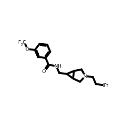 CC(C)CCN1CC2C(CNC(=O)c3cccc(OC(F)(F)F)c3)C2C1